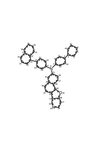 c1ccc(-c2ccc(N(c3ccc(-c4cccc5ccccc45)cc3)c3ccc4c(ccc5c6cnccc6oc45)c3)cc2)cc1